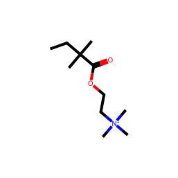 CCC(C)(C)C(=O)OCC[N+](C)(C)C